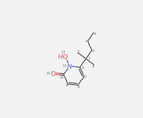 CCCC(C)(C)c1cccc(=O)n1O